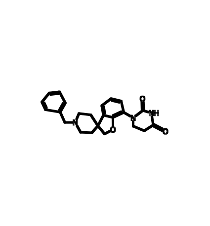 O=C1CCN(c2cccc3c2OCC32CCN(Cc3ccccc3)CC2)C(=O)N1